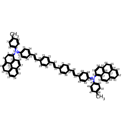 Cc1ccc(N(C2=CCC3=CCc4cccc5ccc2c3c45)c2ccc(C=Cc3ccc(C=Cc4ccc(C=Cc5ccc(N(c6ccc(C)cc6)c6ccc7c8c6C=CC6=CC=CC(=CC7)C68)cc5)cc4)cc3)cc2)cc1